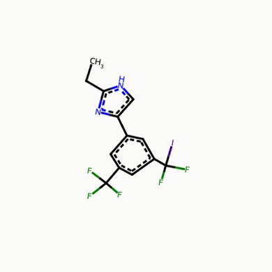 CCc1nc(-c2cc(C(F)(F)F)cc(C(F)(F)I)c2)c[nH]1